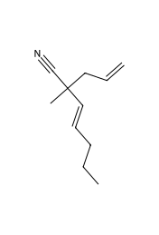 C=CCC(C)(C#N)C=CCCC